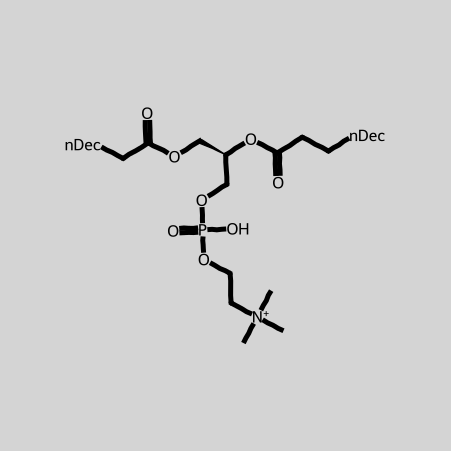 CCCCCCCCCCCCC(=O)O[C@H](COC(=O)CCCCCCCCCCC)COP(=O)(O)OCC[N+](C)(C)C